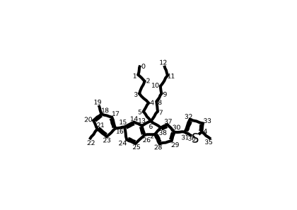 CCCCCCC1(CCCCCC)c2cc(-c3cc(C)cc(C)c3)ccc2-c2ccc(-c3ccc(C)s3)cc21